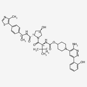 Cc1ncsc1-c1ccc([C@H](C)NC(=O)[C@@H]2C[C@@H](O)CN2C(=O)[C@@H](NC(=O)OC2CCN(c3cc(-c4ccccc4O)nnc3N)CC2)C(C)(C)C)cc1